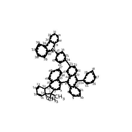 CC1(C)c2cc(-c3c4ccccc4c(-c4ccccc4)c4ccc(-c5ccc(-n6c7ccccc7c7ccccc76)cc5)cc34)c3ccccc3c2C2C=CC=CC21C